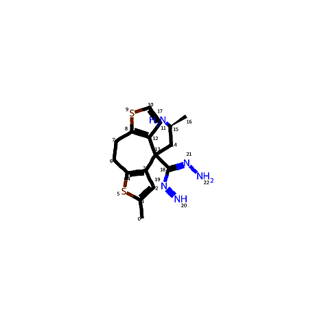 Cc1cc2c(s1)CCc1sccc1C2(C[C@H](C)N)/C(N=N)=N/N